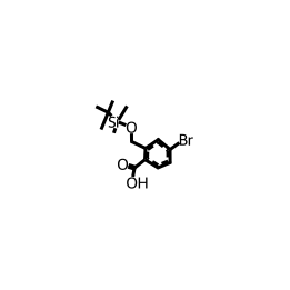 CC(C)(C)[Si](C)(C)OCc1cc(Br)ccc1C(=O)O